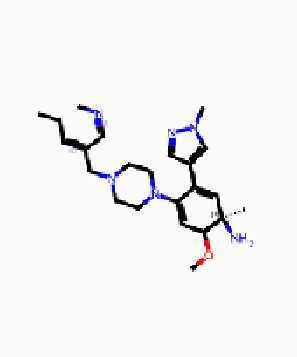 CC/C=C(\C=N/C)CN1CCN(C2=CC(OC)[C@](C)(N)C=C2c2cnn(C)c2)CC1